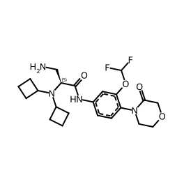 NC[C@@H](C(=O)Nc1ccc(N2CCOCC2=O)c(OC(F)F)c1)N(C1CCC1)C1CCC1